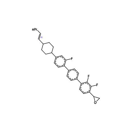 CCC/C=C/C1CCC(c2ccc(-c3ccc(-c4ccc(C5CO5)c(F)c4F)cc3)c(F)c2)CC1